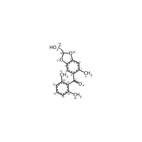 Cc1cc2c(cc1C(=O)c1c(C)cccc1C)OC(C(=O)O)O2